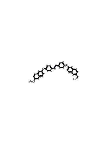 COc1ccc2cc(Oc3ccc(/C=C/c4ccc(Oc5ccc6cc(CO)ccc6c5)cc4)cc3)ccc2c1